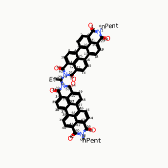 CCCCCN1C(=O)c2ccc3c4ccc5c6c(ccc(c7ccc(c2c37)C1=O)c64)C(=O)N(C(CC)N1C(=O)c2ccc3c4ccc6c7c(ccc(c8ccc(c2c38)C1=O)c74)C(=O)N(CCCCC)C6=O)C5=O